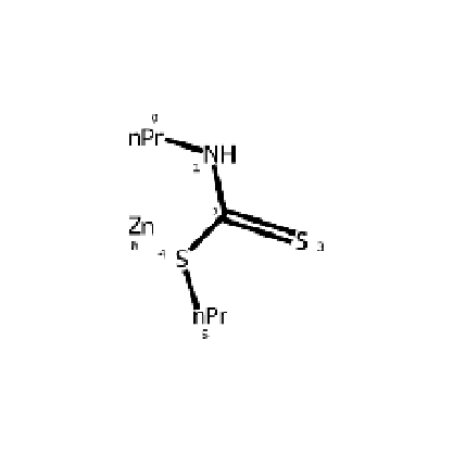 CCCNC(=S)SCCC.[Zn]